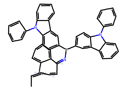 C\C=C/C=C\C(=N\B(c1ccc2c(c1)c1ccccc1n2-c1ccccc1)c1ccc2c(c1)c1ccccc1n2-c1ccccc1)c1ccccc1OC